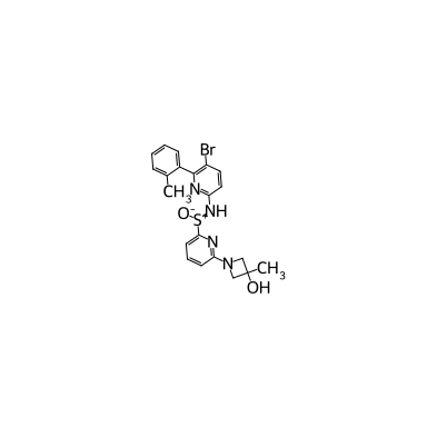 Cc1ccccc1-c1nc(N[S+]([O-])c2cccc(N3CC(C)(O)C3)n2)ccc1Br